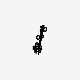 C=C(C)C(=O)OCCOC(=O)CCCC(=O)OC(C(F)(F)F)C(F)(F)F